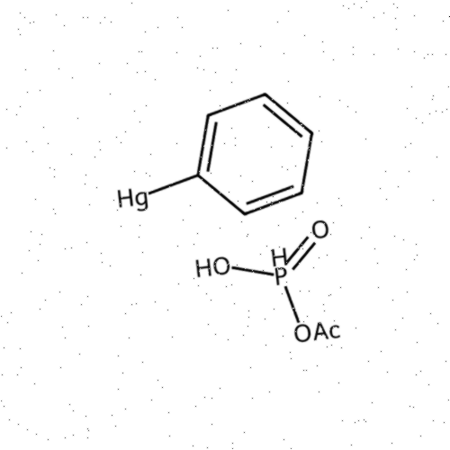 CC(=O)O[PH](=O)O.[Hg][c]1ccccc1